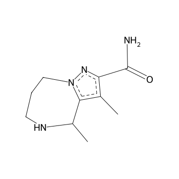 Cc1c(C(N)=O)nn2c1C(C)NCCC2